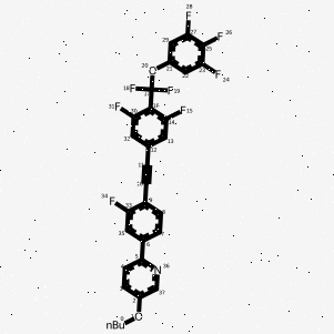 CCCCOc1ccc(-c2ccc(C#Cc3cc(F)c(C(F)(F)Oc4cc(F)c(F)c(F)c4)c(F)c3)c(F)c2)nc1